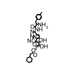 Cc1ccc(C[C@H](N)C(=O)Nc2ncnn3c([C@]4(C#N)O[C@H](COC(=O)CC5CCCCC5)[C@@H](O)[C@H]4O)ccc23)cc1